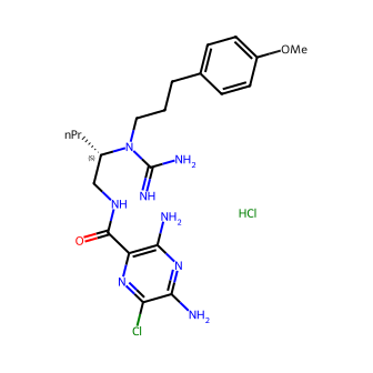 CCC[C@@H](CNC(=O)c1nc(Cl)c(N)nc1N)N(CCCc1ccc(OC)cc1)C(=N)N.Cl